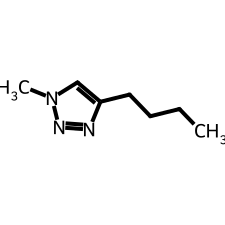 CCCCc1cn(C)nn1